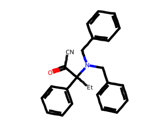 CCC(C(=O)C#N)(c1ccccc1)N(Cc1ccccc1)Cc1ccccc1